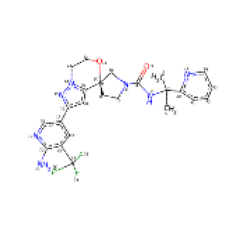 CC(C)(NC(=O)N1CC[C@]2(C1)OCCn1nc(-c3cnc(N)c(C(F)(F)F)c3)cc12)c1ccccn1